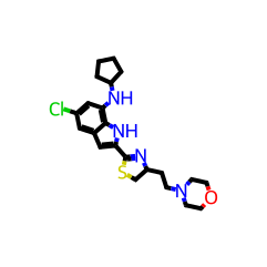 Clc1cc(NC2CCCC2)c2[nH]c(C3=NC(CCN4CCOCC4)CS3)cc2c1